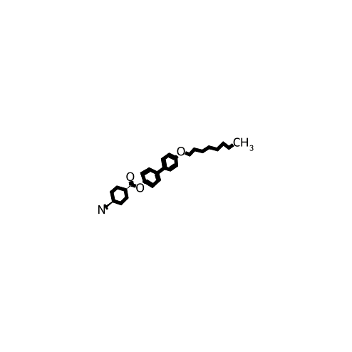 CCCCCCCCOc1ccc(-c2ccc(OC(=O)[C@H]3CC[C@H](C#N)CC3)cc2)cc1